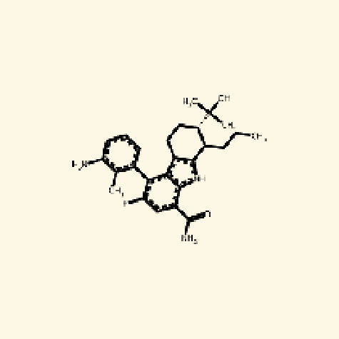 CCCC1c2[nH]c3c(C(N)=O)cc(F)c(-c4cccc(N)c4C)c3c2CC[C@@H]1C(C)(C)O